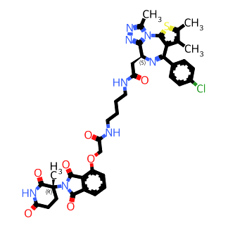 Cc1sc2c(c1C)C(c1ccc(Cl)cc1)=N[C@@H](CC(=O)NCCCCNC(=O)COc1cccc3c1C(=O)N([C@]1(C)CCC(=O)NC1=O)C3=O)c1nnc(C)n1-2